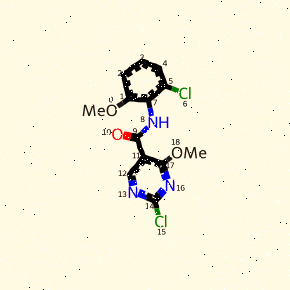 COc1cccc(Cl)c1NC(=O)c1cnc(Cl)nc1OC